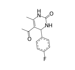 CC(=O)C1=C(C)NC(=O)NC1c1ccc(F)cc1